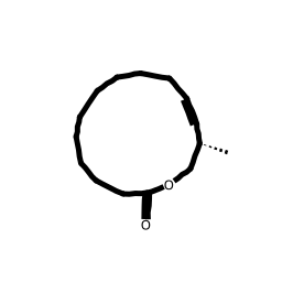 C[C@H]1/C=C\CCCCCCCCCC(=O)OC1